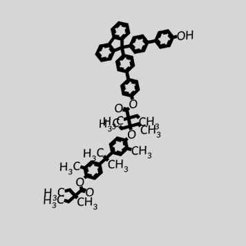 CCC(C)(CC)C(=O)Oc1ccc(C(C)(C)c2ccc(OC(CC)(CC)C(C)(CC)C(=O)Oc3ccc(-c4ccc(C5(c6ccc(-c7ccc(O)cc7)cc6)c6ccccc6-c6ccccc65)cc4)cc3)c(C)c2)cc1C